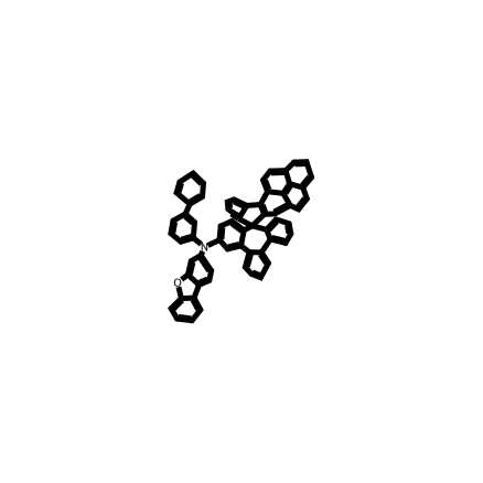 c1ccc(-c2cccc(N(c3ccc4c(c3)-c3ccccc3-c3ccccc3C43c4ccccc4-c4c3cc3ccc5cccc6ccc4c3c56)c3ccc4c(c3)oc3ccccc34)c2)cc1